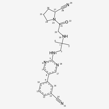 CC(C)(CNc1ncc(-c2cccc(C#N)c2)cn1)NCC(=O)N1CCCC1C#N